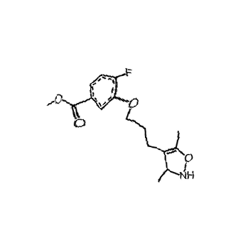 COC(=O)c1ccc(F)c(OCCCC2=C(C)ONC2C)c1